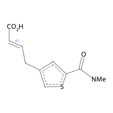 CNC(=O)c1cc(C/C=C/C(=O)O)cs1